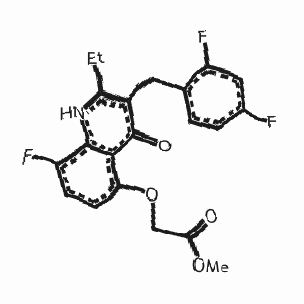 CCc1[nH]c2c(F)ccc(OCC(=O)OC)c2c(=O)c1Cc1ccc(F)cc1F